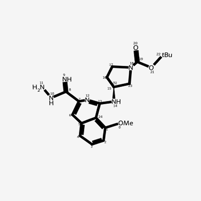 COc1cccc2cc(C(=N)NN)nc(N[C@H]3CCN(C(=O)OC(C)(C)C)C3)c12